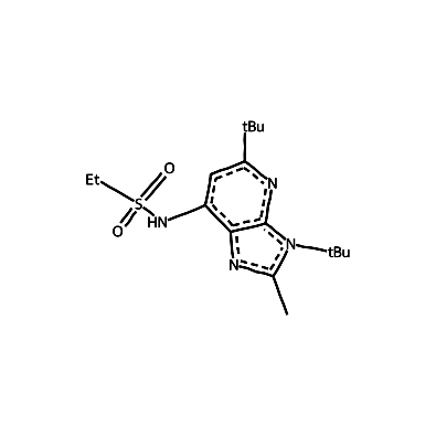 CCS(=O)(=O)Nc1cc(C(C)(C)C)nc2c1nc(C)n2C(C)(C)C